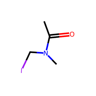 CC(=O)N(C)CI